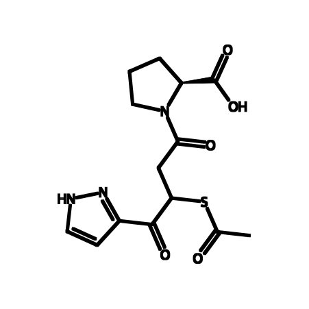 CC(=O)SC(CC(=O)N1CCC[C@H]1C(=O)O)C(=O)c1cc[nH]n1